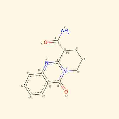 NC(=O)[C@@H]1CCCn2c1nc1ccccc1c2=O